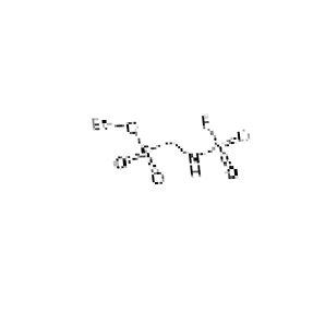 CCOS(=O)(=O)CNS(=O)(=O)F